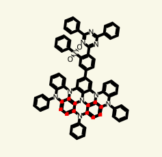 O=S(=O)(c1ccccc1)c1cc(-c2cc(N3c4ccccc4N(c4ccccc4)c4ccccc43)c(N3c4ccccc4N(c4ccccc4)c4ccccc43)c(N3c4ccccc4N(c4ccccc4)c4ccccc43)c2)ccc1-c1nc(-c2ccccc2)nc(-c2ccccc2)n1